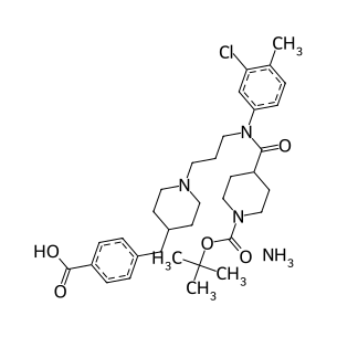 Cc1ccc(N(CCCN2CCC(Cc3ccc(C(=O)O)cc3)CC2)C(=O)C2CCN(C(=O)OC(C)(C)C)CC2)cc1Cl.N